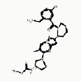 Cc1cn2nc([C@@H]3CCCCN3C(=O)c3cc(Cl)ccc3CN)cc2nc1N1CC[C@H](NC(=O)OC(C)(C)C)C1